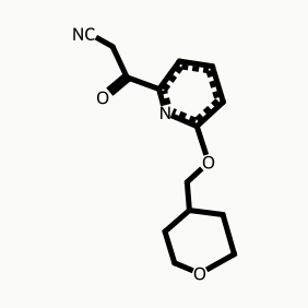 N#CCC(=O)c1cccc(OCC2CCOCC2)n1